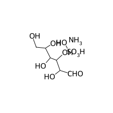 N.O=CC(O)C(O)C(O)C(O)CO.O=S(=O)(O)O